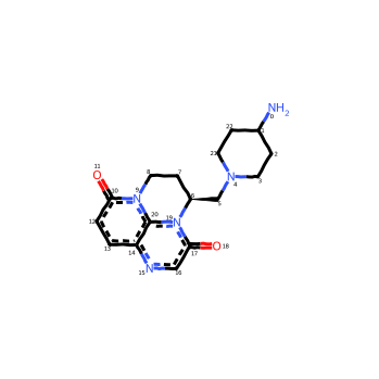 NC1CCN(C[C@@H]2CCn3c(=O)ccc4ncc(=O)n2c43)CC1